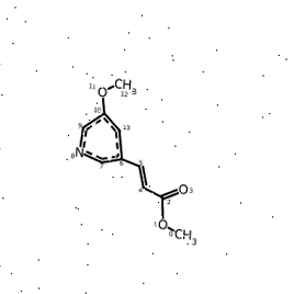 COC(=O)/C=C/c1cncc(OC)c1